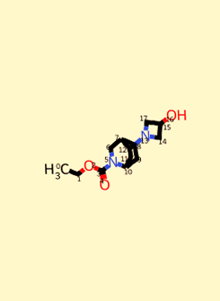 CCOC(=O)N1CC2CCC1CC2N1CC(O)C1